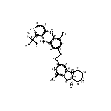 O=c1nc(OCc2cc(F)c(Oc3ccnc(C(F)(F)F)c3)c(F)c2)cc2n1C[C@@H]1COCCN21